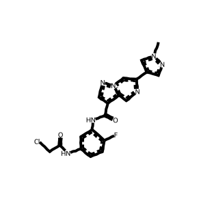 Cn1cc(-c2cn3ncc(C(=O)Nc4cc(NC(=O)CCl)ccc4F)c3cn2)cn1